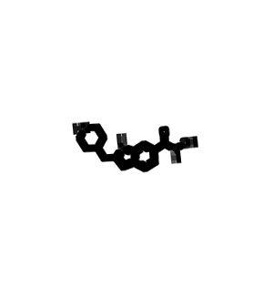 O=C(NO)c1ccc2cc(CC3CCNCC3)[nH]c2c1